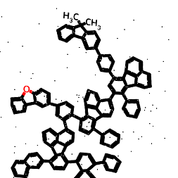 CC1(C)c2ccccc2-c2cc(-c3ccc(-c4cc(-c5ccc6c7c(cccc57)-c5c(-c7ccc(-c8ccc9oc%10ccccc%10c9c8)cc7-c7ccc8c9c(cccc79)-c7c(-c9ccc%10ccccc%10c9)ccc(-c9ccc(-c%10ccccc%10)c%10ccccc9%10)c7-8)ccc(-c7ccccc7)c5-6)c(-c5ccccc5)c5c4-c4cccc6cccc-5c46)cc3)ccc21